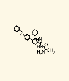 CC(N)C(=O)Nc1cnn2c(C3CCCCC3)c(-c3ccc(OCc4ccccc4)cc3)cnc12